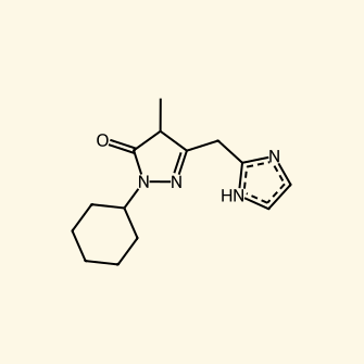 CC1C(=O)N(C2CCCCC2)N=C1Cc1ncc[nH]1